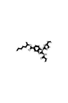 CCCCCC(C)OC(=O)c1ccc2c(c1)nc(NC(=O)CC)n2C1=NC(CC)CS1